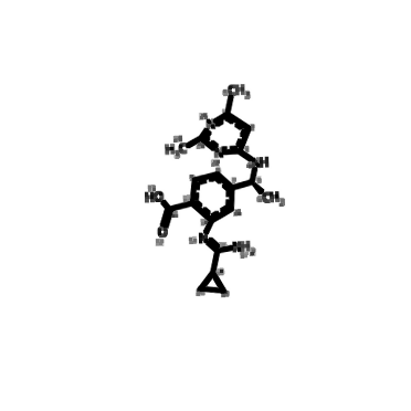 Cc1cc(N[C@@H](C)c2ccc(C(=O)O)c(/N=C(\N)C3CC3)c2)nc(C)n1